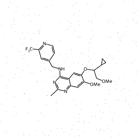 COCC(Oc1cc2c(NCc3ccnc(C(F)(F)F)c3)nc(C)nc2cc1OC)C1CC1